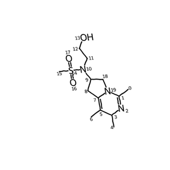 CC1=NC(C)C(C)=C2CC(N(CCO)S(C)(=O)=O)CN12